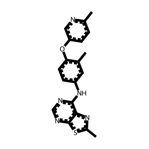 Cc1ccc(Oc2ccc(Nc3ncnc4sc(C)nc34)cc2C)cn1